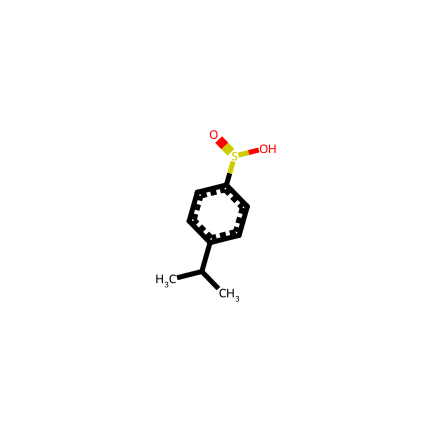 CC(C)c1ccc(S(=O)O)cc1